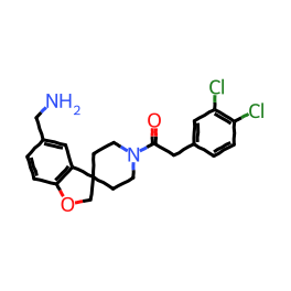 NCc1ccc2c(c1)C1(CCN(C(=O)Cc3ccc(Cl)c(Cl)c3)CC1)CO2